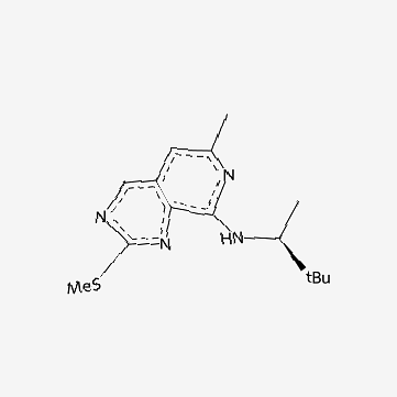 CSc1ncc2cc(C)nc(N[C@@H](C)C(C)(C)C)c2n1